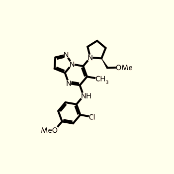 COC[C@@H]1CCCN1c1c(C)c(Nc2ccc(OC)cc2Cl)nc2ccnn12